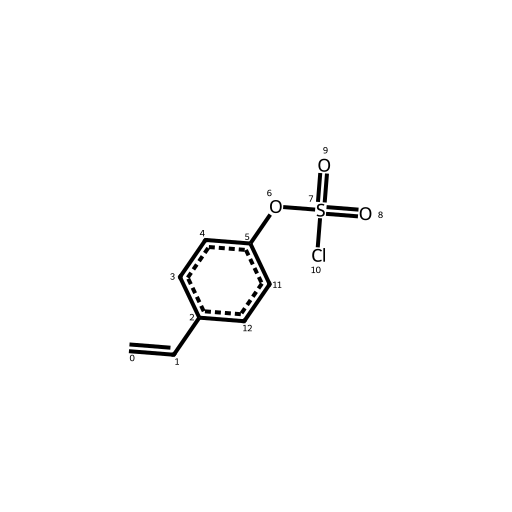 C=Cc1ccc(OS(=O)(=O)Cl)cc1